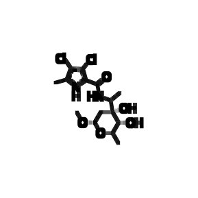 CO[C@@H]1C[C@@](O)(C(C)NC(=O)c2[nH]c(C)c(Cl)c2Cl)[C@H](O)C(C)O1